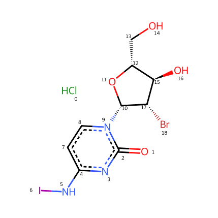 Cl.O=c1nc(NI)ccn1[C@@H]1O[C@H](CO)[C@@H](O)[C@@H]1Br